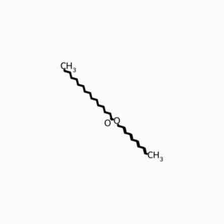 CC=CC=CC=CC=CCOC(=O)CCCCCCCCCCCCCCC